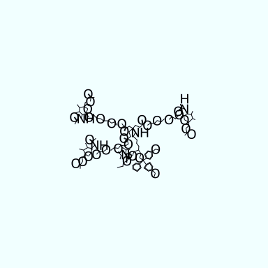 CCCOP(OCC(CCCCNC(CCC(=O)OCCOCCOCCOC1OC(COC(C)=O)C(C)C(C)C1NC(C)=O)(CCC(=O)OCCOCCOCCOC1OC(COC(C)=O)C(C)C(C)C1NC(C)=O)CC(=O)OCCOCCOCCOC1OC(COC(C)=O)C(C)C(C)C1NC(C)=O)COC(c1ccccc1)(c1ccc(OC)cc1)c1ccc(OC)cc1)N(C(C)C)C(C)C